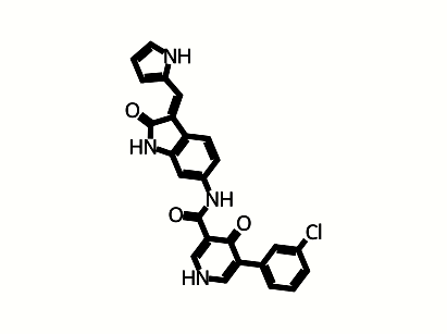 O=C1Nc2cc(NC(=O)c3c[nH]cc(-c4cccc(Cl)c4)c3=O)ccc2C1=Cc1ccc[nH]1